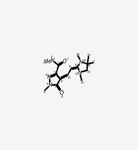 CNC(=O)C1=NN(C)C(=O)/C1=C/C=C1\N(C)CC(C)(C)N1C